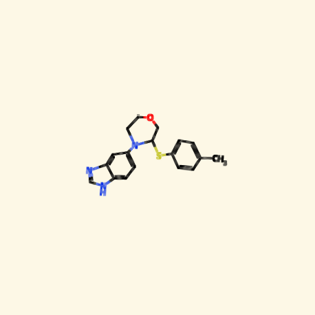 Cc1ccc(SC2CO[CH]CN2c2ccc3[nH]cnc3c2)cc1